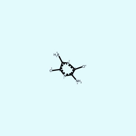 Bc1nc(Cl)c(N)nc1Cl